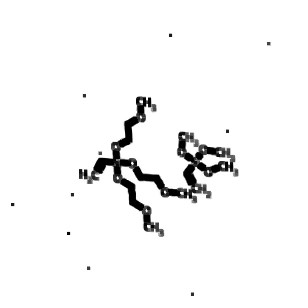 C=C[Si](OC)(OC)OC.C=C[Si](OCCOC)(OCCOC)OCCOC